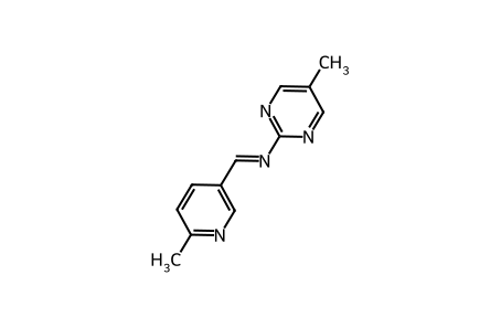 Cc1cnc(N=Cc2ccc(C)nc2)nc1